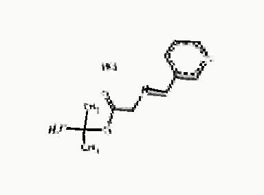 CC(C)(C)OC(=O)CN=Cc1cccnc1.Cl